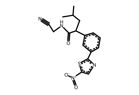 CC(C)CC(C(=O)NCC#N)c1cccc(-c2ncc([N+](=O)[O-])s2)c1